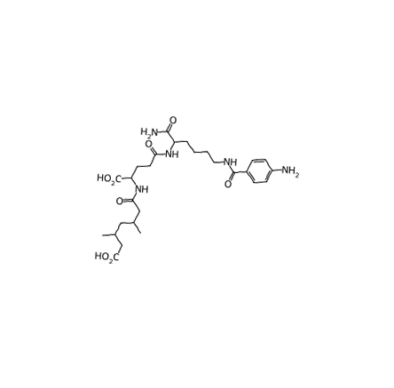 CC(CC(=O)O)CC(C)CC(=O)NC(CCC(=O)NC(CCCCNC(=O)c1ccc(N)cc1)C(N)=O)C(=O)O